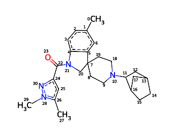 Cc1ccc2c(c1)C1(CCN(C3CC4CCC3C4)CC1)CN2C(=O)c1cc(C)n(C)n1